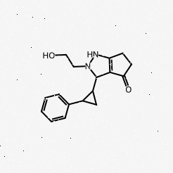 O=C1CCC2=C1C(C1CC1c1ccccc1)N(CCO)N2